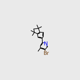 Cc1cc(-c2ccc3c(c2)C(C)(C)CC3(C)C)ncc1Br